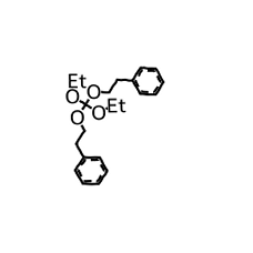 CCOC(OCC)(OCCc1ccccc1)OCCc1ccccc1